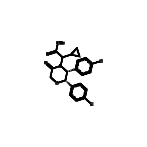 COC(=O)C(C1CC1)N1C(=O)CO[C@@H](c2ccc(Cl)cc2)[C@H]1c1ccc(Cl)cc1